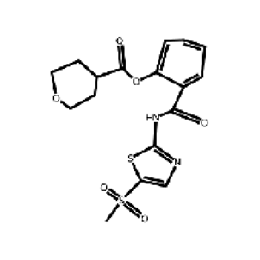 CS(=O)(=O)c1cnc(NC(=O)c2ccccc2OC(=O)C2CCOCC2)s1